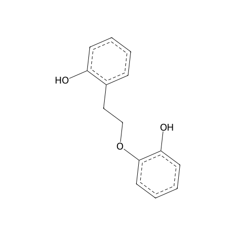 Oc1ccccc1CCOc1ccccc1O